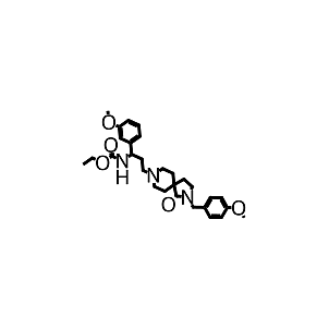 CCOC(=O)NC(CCN1CCC2(CC1)CCN(Cc1ccc(OC)cc1)C2=O)c1cccc(OC)c1